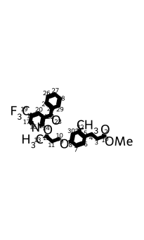 COC(=O)CCc1ccc(OCC[C@H](C)Oc2ncc(C(F)(F)F)cc2C(=O)c2ccccc2)cc1C